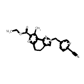 CCOC(=O)c1oc2c(c1C)-c1nn(Cc3ccc(C#N)nc3)cc1CC2